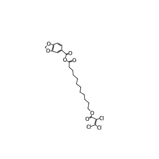 O=C(CCCCCCCCCCCOC(=O)C(Cl)=C(Cl)Cl)OC(=O)c1ccc2c(c1)OCO2